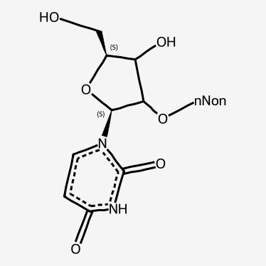 CCCCCCCCCOC1C(O)[C@H](CO)O[C@@H]1n1ccc(=O)[nH]c1=O